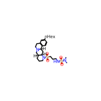 CCCCCCc1ccc2c(c1)CCN1C[C@H]3CCCN(S(=O)(=O)CCCNS(=O)(=O)N(C)C)[C@H]3C[C@@H]21